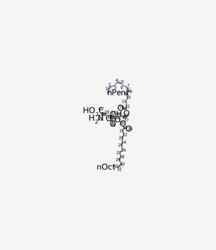 CCCCC/C=C\C/C=C\C/C=C\CCCCC(=O)O[C@H](COC(=O)CCCCCCCCC/C=C\CCCCCCCC)COP(=O)(O)OC[C@H](N)C(=O)O